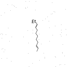 CC=CCCCCCC=CCC